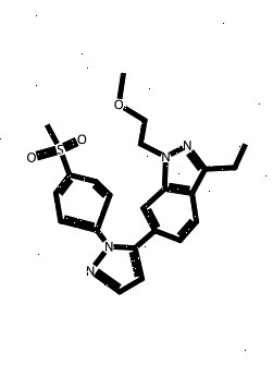 CCc1nn(CCOC)c2cc(-c3ccnn3-c3ccc(S(C)(=O)=O)cc3)ccc12